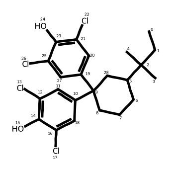 CCC(C)(C)C1CCCC(c2cc(Cl)c(O)c(Cl)c2)(c2cc(Cl)c(O)c(Cl)c2)C1